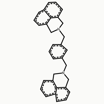 c1cc(CN2Cc3cccc4cccc(c34)C2)cc(CN2Cc3cccc4cccc(c34)C2)c1